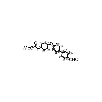 COC(=O)CC1CCC(Oc2ncc(-c3ccc(C=O)c(F)c3)cn2)CC1